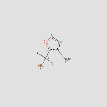 CNc1ccoc1C(C)(C)S